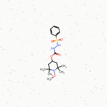 CON1C(C)(C)CC(OC(=O)NNS(=O)(=O)c2ccccc2)CC1(C)C